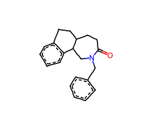 O=C1CCC2CCc3ccccc3C2CN1Cc1ccccc1